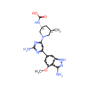 COc1cc(-c2cc(N3C[C@H](C)C[C@@H](NC(=O)O)C3)nc(N)n2)cc2[nH]nc(N)c12